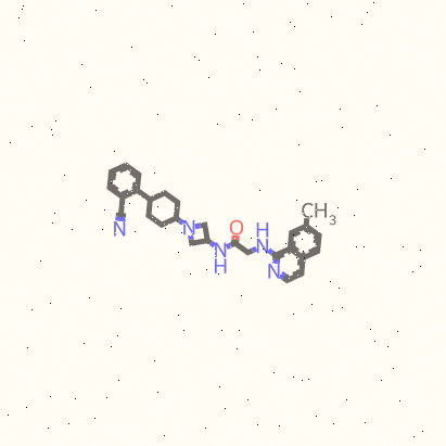 Cc1ccc2ccnc(NCC(=O)NC3CN(C4CCC(c5ccccc5C#N)CC4)C3)c2c1